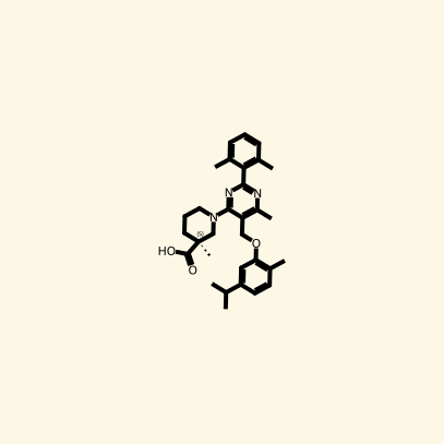 Cc1ccc(C(C)C)cc1OCc1c(C)nc(-c2c(C)cccc2C)nc1N1CCC[C@](C)(C(=O)O)C1